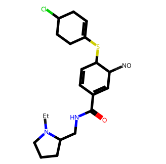 CCN1CCCC1CNC(=O)C1=CC(N=O)C(SC2=CCC(Cl)CC2)C=C1